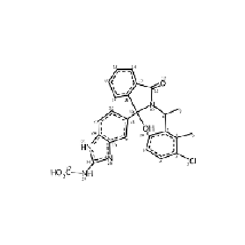 Cc1c(Cl)cccc1C(C)N1C(=O)c2ccccc2C1(O)c1ccc2[nH]c(NC(=O)O)nc2c1